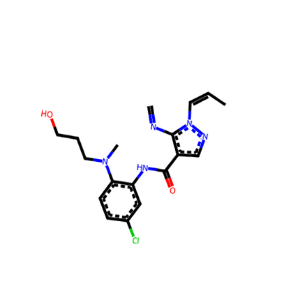 C=Nc1c(C(=O)Nc2cc(Cl)ccc2N(C)CCCO)cnn1/C=C\C